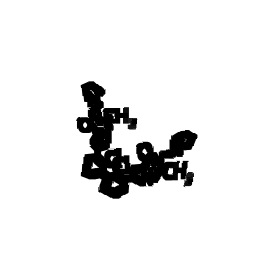 Cc1cn2cc(-c3cccc(-c4cccc(-c5cc6c(=O)n(CCN7CCCC7)c(C)cn6c5)c4Cl)c3Cl)cc2c(=O)n1CCN1CCCC1